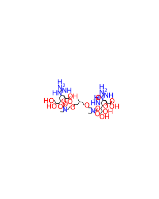 CCN(CCOCCC(C)CCOCCN(CC)C(=O)O[C@@H]([C@@H]1OC(C(=O)O)=C[C@H](NC(=N)N)[C@H]1NC(C)=O)[C@H](O)CO)C(=O)O[C@@H]([C@@H]1OC(C(=O)O)=C[C@H](NC(=N)N)[C@H]1C)[C@H](O)CO